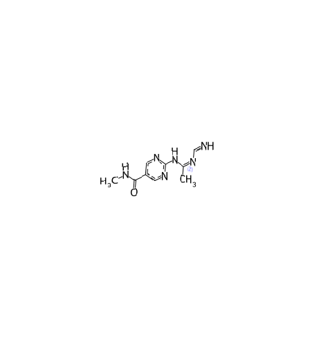 CNC(=O)c1cnc(N/C(C)=N\C=N)nc1